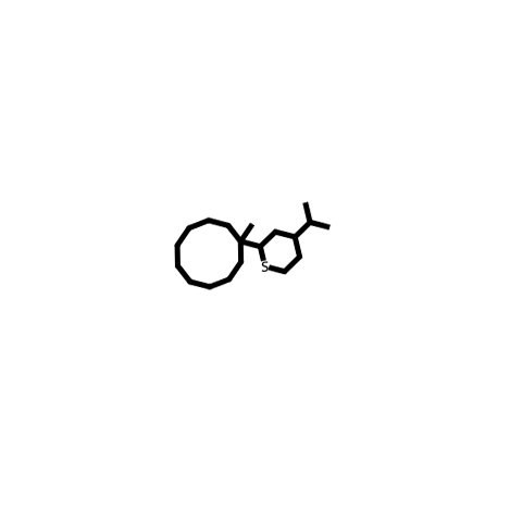 CC(C)C1CCSC(C2(C)CCCCCCCCC2)C1